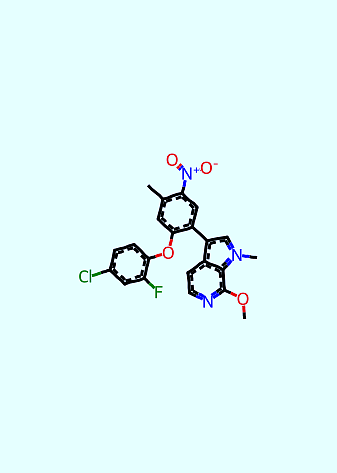 COc1nccc2c(-c3cc([N+](=O)[O-])c(C)cc3Oc3ccc(Cl)cc3F)cn(C)c12